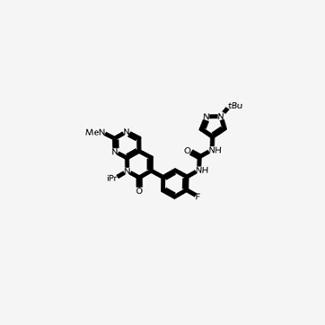 CNc1ncc2cc(-c3ccc(F)c(NC(=O)Nc4cnn(C(C)(C)C)c4)c3)c(=O)n(C(C)C)c2n1